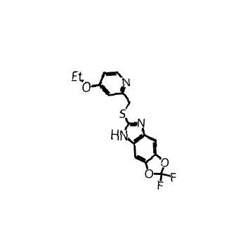 CCOc1ccnc(CSc2nc3cc4c(cc3[nH]2)OC(F)(F)O4)c1